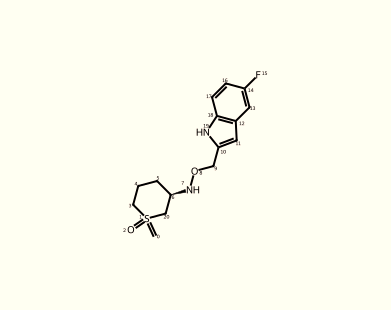 C=S1(=O)CCC[C@@H](NOCc2cc3cc(F)ccc3[nH]2)C1